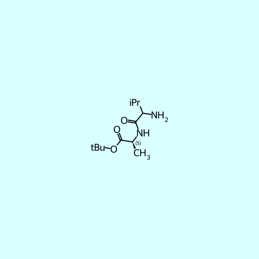 CC(C)C(N)C(=O)N[C@@H](C)C(=O)OC(C)(C)C